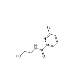 CCc1cccc(C(=O)NCCO)n1